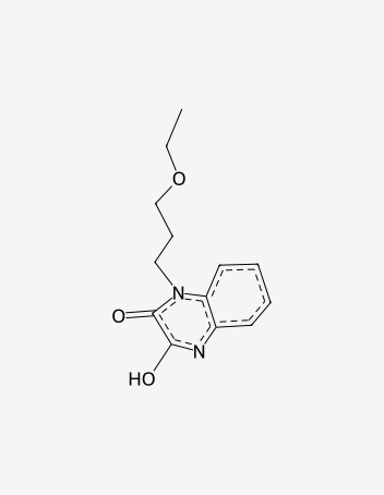 CCOCCCn1c(=O)c(O)nc2ccccc21